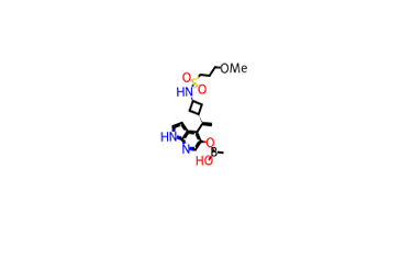 C=C(c1c(OB(C)O)cnc2[nH]ccc12)[C@H]1C[C@@H](NS(=O)(=O)CCCOC)C1